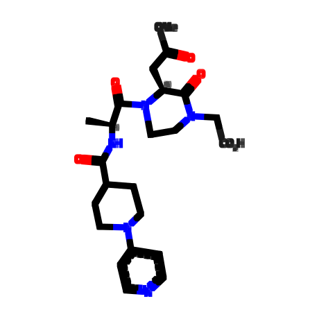 COC(=O)C[C@H]1C(=O)N(CC(=O)O)CCN1C(=O)[C@H](C)NC(=O)C1CCN(c2ccncc2)CC1